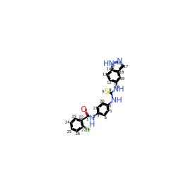 O=C(Nc1ccc(NC(=S)Nc2ccc3[nH]ncc3c2)cc1)c1ccccc1F